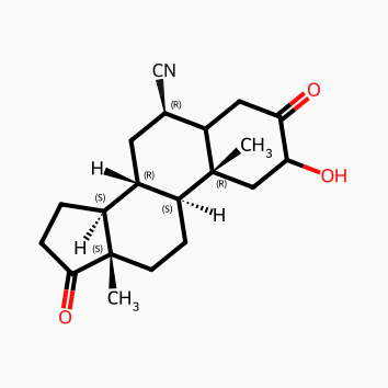 C[C@]12CC(O)C(=O)CC1[C@H](C#N)C[C@@H]1[C@@H]2CC[C@]2(C)C(=O)CC[C@@H]12